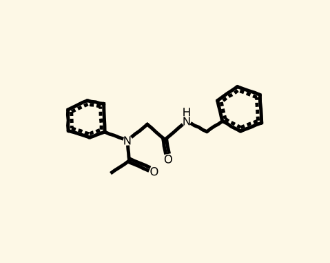 CC(=O)N(CC(=O)NCc1ccccc1)c1ccccc1